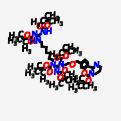 CC(C)(C)OC(=O)/N=C(/N(CCCCCCCN/C(=N\C(=O)OC(C)(C)C)NC(=O)OC(C)(C)C)C(=O)OC(C)(C)C)N(CCOCc1ccc(C2=NCCCN2C(=O)OC(C)(C)C)cc1)C(=O)OC(C)(C)C